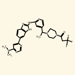 CC(c1ccnc(Nc2nc3ccc(-c4cc(N(C)C)ncn4)cc3[nH]2)c1)N1CCN(C(=O)CC(F)(F)F)CC1